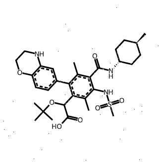 Cc1c(C(=O)N[C@H]2CC[C@H](C)CC2)c(NS(C)(=O)=O)c(C)c(C(OC(C)(C)C)C(=O)O)c1-c1ccc2c(c1)NCCO2